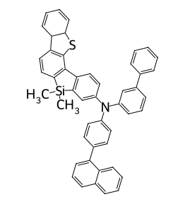 C[Si]1(C)c2cc(N(c3ccc(-c4cccc5ccccc45)cc3)c3cccc(-c4ccccc4)c3)ccc2-c2c1ccc1c2SC2C=CC=CC12